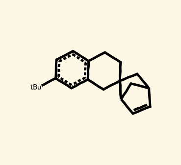 CC(C)(C)c1ccc2c(c1)CC1(CC2)CC2C=CC1C2